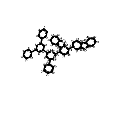 c1ccc(-c2cc(-c3ccccc3)cc(-c3cc(-c4ccccc4)nc(-c4ccc(-c5ccc6c(c5)sc5ccccc56)c5oc6ccccc6c45)n3)c2)cc1